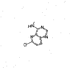 CNc1ncnc2ccc(Cl)nc12